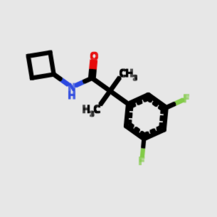 CC(C)(C(=O)NC1CCC1)c1cc(F)cc(F)c1